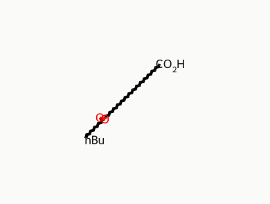 CCCC/C=C\CCCCCCCC(=O)OCCCCCCCCCCCCCCCCCCCCCCCCCCCCC(=O)O